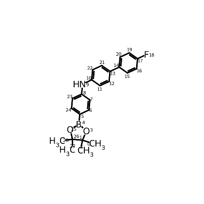 CC1(C)OB(c2ccc(Nc3ccc(-c4ccc(F)cc4)cc3)cc2)OC1(C)C